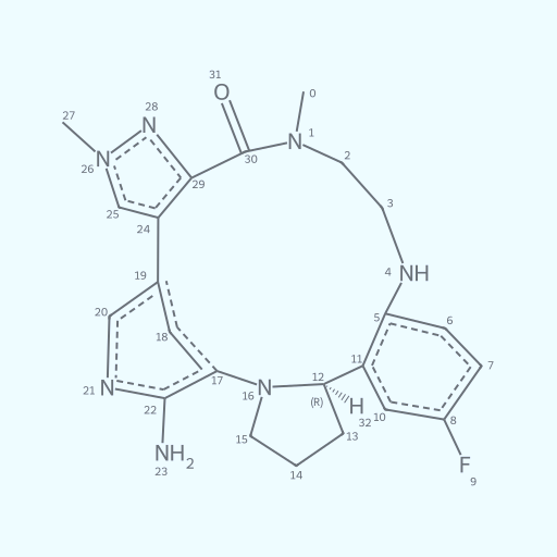 CN1CCNc2ccc(F)cc2[C@H]2CCCN2c2cc(cnc2N)-c2cn(C)nc2C1=O